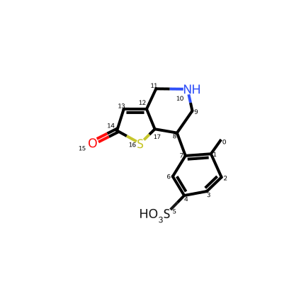 Cc1ccc(S(=O)(=O)O)cc1C1CNCC2=CC(=O)SC21